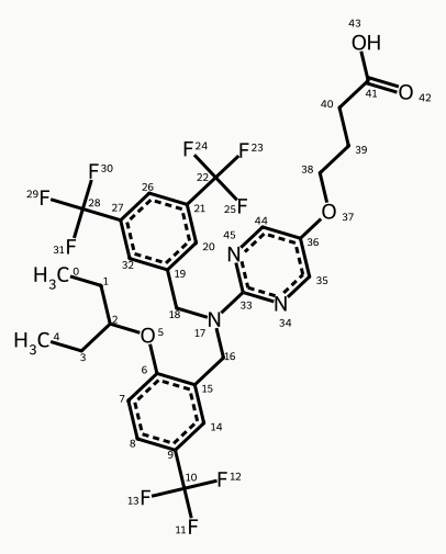 CCC(CC)Oc1ccc(C(F)(F)F)cc1CN(Cc1cc(C(F)(F)F)cc(C(F)(F)F)c1)c1ncc(OCCCC(=O)O)cn1